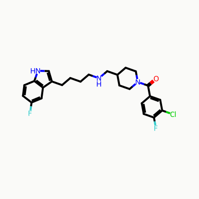 O=C(c1ccc(F)c(Cl)c1)N1CCC(CNCCCCc2c[nH]c3ccc(F)cc23)CC1